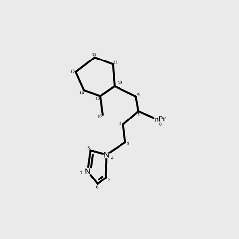 CCCC(CCn1ccnc1)CC1CCCCC1C